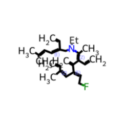 C=C/C(C)=C\C(=C/CF)C(=C)/C(C=C)=C(/C)N(CC)C/C(C=C)=C/C=C(C)C